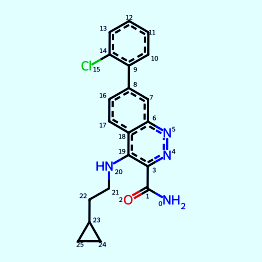 NC(=O)c1nnc2cc(-c3ccccc3Cl)ccc2c1NCCC1CC1